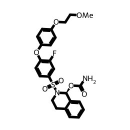 COCCOc1ccc(Oc2ccc(S(=O)(=O)N3CCc4ccccc4[C@@H]3OC(N)=O)cc2F)cc1